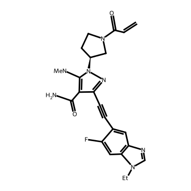 C=CC(=O)N1CC[C@H](n2nc(C#Cc3cc4ncn(CC)c4cc3F)c(C(N)=O)c2NC)C1